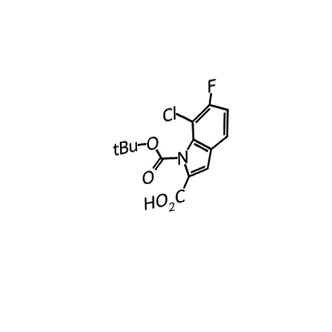 CC(C)(C)OC(=O)n1c(C(=O)O)cc2ccc(F)c(Cl)c21